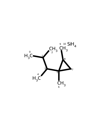 CC(C)C(C)C1(C)CC1C.[SiH4]